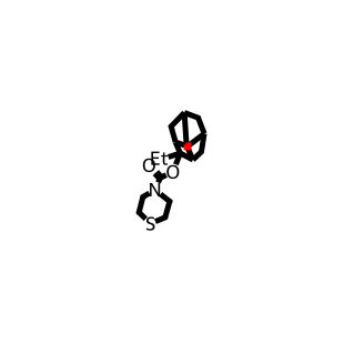 CCC1(OC(=O)N2CCSCC2)C2CC3CC(C2)CC1C3